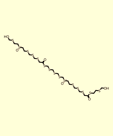 O=C(CSCSCSCC[S+]([O-])CSCSCSCSC(=O)CSCSCSCC[S+]([O-])CCSCO)SCCSCO